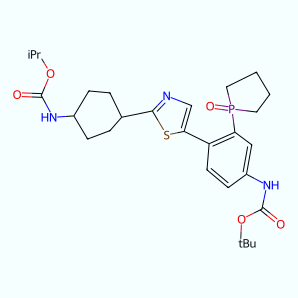 CC(C)OC(=O)NC1CCC(c2ncc(-c3ccc(NC(=O)OC(C)(C)C)cc3P3(=O)CCCC3)s2)CC1